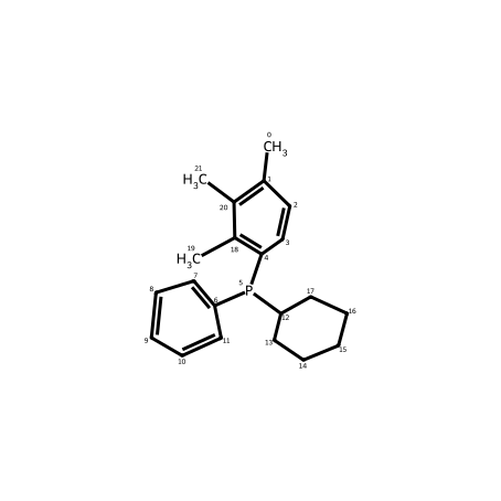 Cc1ccc(P(c2ccccc2)C2CCCCC2)c(C)c1C